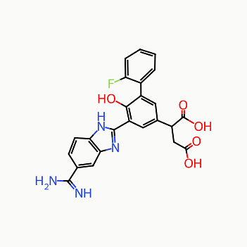 N=C(N)c1ccc2[nH]c(-c3cc(C(CC(=O)O)C(=O)O)cc(-c4ccccc4F)c3O)nc2c1